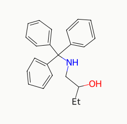 CCC(O)CNC(c1ccccc1)(c1ccccc1)c1ccccc1